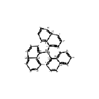 c1ccc2[c]([In]([c]3cccc4ccccc34)[c]3cccc4ccccc34)cccc2c1